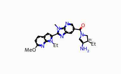 CC[C@@H]1CN(C(=O)c2cnc3c(c2)nc(-c2cc4ccc(OC)nc4n2CC)n3C)C=C1N